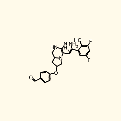 NC1=C(/C=C(\N)c2cc(F)cc(F)c2O)N2CC(Oc3ccc(C=O)cc3)CC2CN1